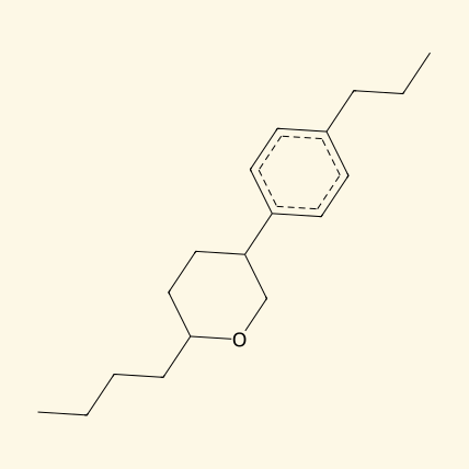 CCCCC1CCC(c2ccc(CCC)cc2)CO1